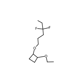 CCOC1CCC1OCCCC(F)(F)CC